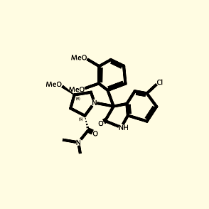 COc1cccc(C2(N3C[C@H](OC)C[C@H]3C(=O)N(C)C)C(=O)Nc3ccc(Cl)cc32)c1OC